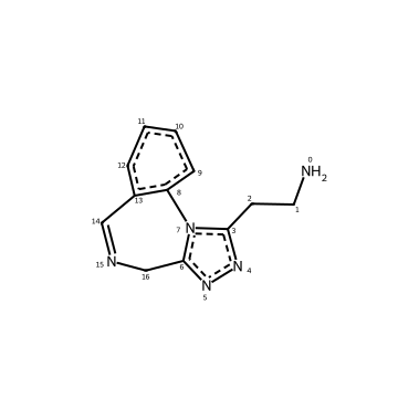 NCCc1nnc2n1-c1ccccc1C=NC2